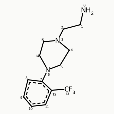 NCCN1CCN(c2ccccc2C(F)(F)F)CC1